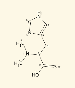 CN(C)C(Cc1c[nH]cn1)C(O)=S